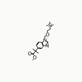 COC(=O)C(C)(C)c1ccc2c(c1)ncn2COCC[Si](C)(C)C